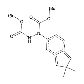 CC1(C)C=c2ccc(N(NC(=O)OC(C)(C)C)C(=O)OC(C)(C)C)cc2=C1